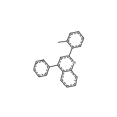 Cc1ccccc1-c1cc(-c2ccccc2)c2ccccc2n1